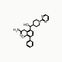 NC(=O)Cc1c(C(O)C2CCN(c3ncccn3)CC2)ccc(-c2ccccc2)c1Cl